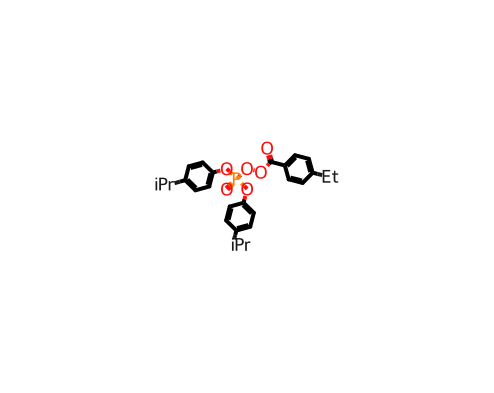 CCc1ccc(C(=O)OOP(=O)(Oc2ccc(C(C)C)cc2)Oc2ccc(C(C)C)cc2)cc1